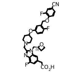 N#Cc1ccc(OCc2cc(OC3CCN(Cc4nc5c(F)cc(CC(=O)O)cc5n4C[C@@H]4CCO4)CC3)ccc2F)c(F)c1